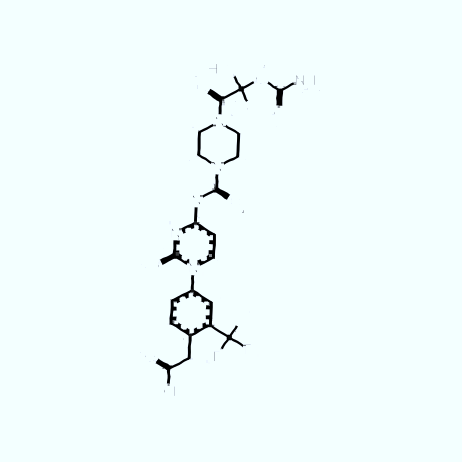 CC(=O)Cc1ccc(-n2ccc(NC(=O)N3CCN(C(=O)C(C)(C)OC(N)=O)CC3)nc2=O)cc1C(F)(F)F